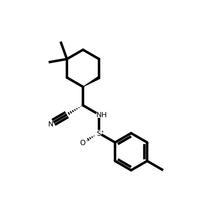 Cc1ccc([S@+]([O-])N[C@H](C#N)[C@@H]2CCCC(C)(C)C2)cc1